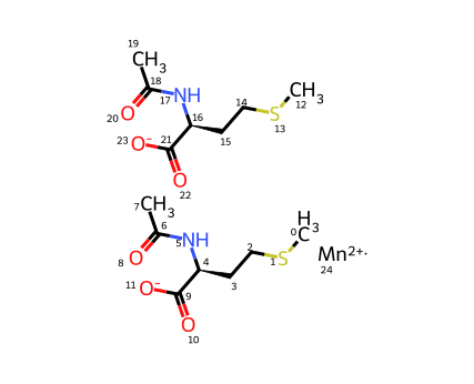 CSCC[C@H](NC(C)=O)C(=O)[O-].CSCC[C@H](NC(C)=O)C(=O)[O-].[Mn+2]